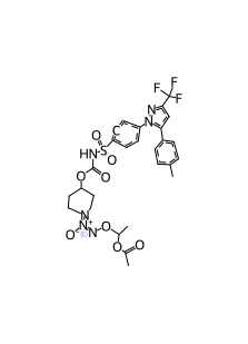 CC(=O)OC(C)O/N=[N+](/[O-])N1CCC(OC(=O)NS(=O)(=O)c2ccc(-n3nc(C(F)(F)F)cc3-c3ccc(C)cc3)cc2)CC1